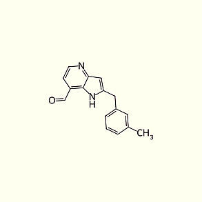 Cc1cccc(Cc2cc3nccc(C=O)c3[nH]2)c1